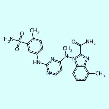 Cc1ccc(Nc2nccc(N(C)n3c(C(N)=O)nc4c(C)cccc43)n2)cc1S(N)(=O)=O